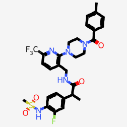 Cc1ccc(C(=O)N2CCN(c3nc(C(F)(F)F)ccc3CNC(=O)C(C)c3ccc(NS(C)(=O)=O)c(F)c3)CC2)cc1